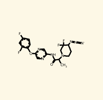 CC(C(=O)Nc1cnc(Oc2ccc(F)cc2F)cn1)N1CCC(N=[N+]=[N-])C(F)(F)C1